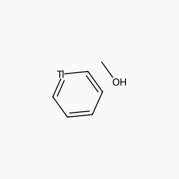 C1=C[CH]=[Tl][CH]=C1.CO